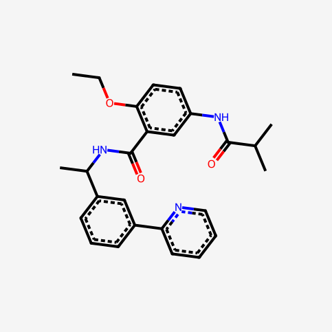 CCOc1ccc(NC(=O)C(C)C)cc1C(=O)NC(C)c1cccc(-c2ccccn2)c1